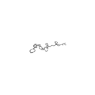 CCOC(=O)CCCC(=O)N1CCCC(N2CCC(Nc3nccc(N4CCCCCC4)n3)C2)C1